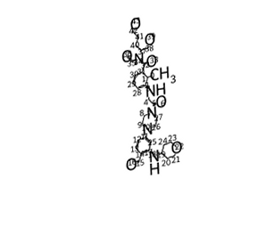 CC1C(NCC(=O)N2CCN(c3ccc(C=O)c(NC4CCOCC4)c3)CC2)=CC=CC1C(=O)N(C=O)C(C=O)CCC=O